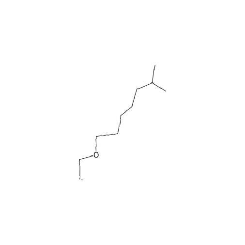 [CH2]COCCCCCC(C)C